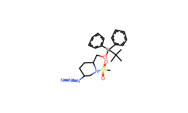 CC(C)(C)[Si](OCC1CCC(N=[N+]=[N-])CN1S(C)(=O)=O)(c1ccccc1)c1ccccc1